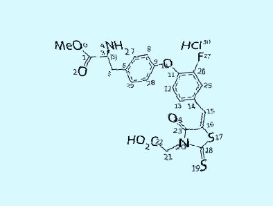 COC(=O)[C@@H](N)Cc1ccc(Oc2ccc(C=C3SC(=S)N(CC(=O)O)C3=O)cc2F)cc1.Cl